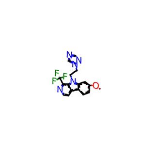 COc1ccc2c3ccnc(C(F)(F)F)c3n(CCn3cncn3)c2c1